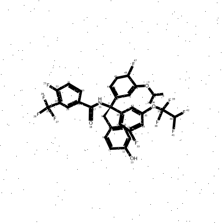 CC(C)OC1=CC([C@@](Cc2ccc(O)cc2)(NC(=O)c2ccc(F)c(C(F)(F)F)c2)c2cc(F)cc(OC(F)(F)C(F)F)c2)=CCC1F